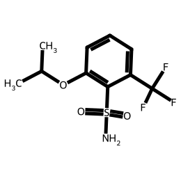 CC(C)Oc1cccc(C(F)(F)F)c1S(N)(=O)=O